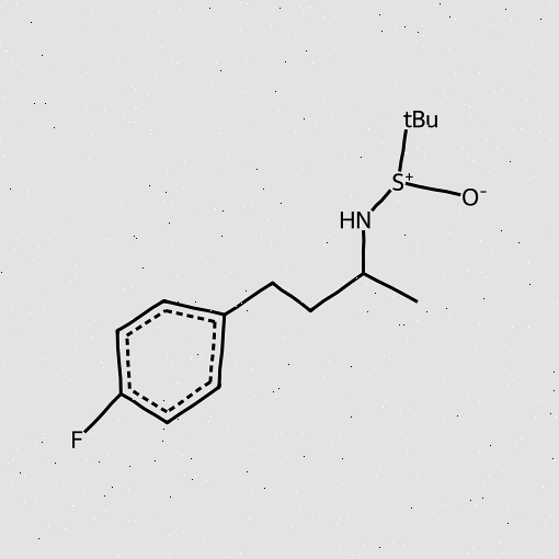 CC(CCc1ccc(F)cc1)N[S+]([O-])C(C)(C)C